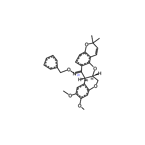 COc1cc2c(cc1OC)[C@@H]1/C(=N/OCc3ccccc3)c3ccc4c(c3O[C@@H]1CO2)C=CC(C)(C)O4